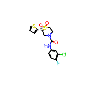 O=C(Nc1ccc(F)c(Cl)c1)N1CCS(=O)(=O)[C@@H](c2cccs2)C1